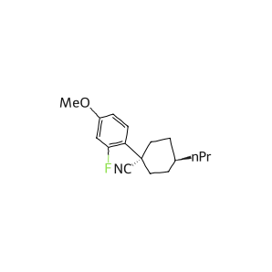 CCC[C@H]1CC[C@@](C#N)(c2ccc(OC)cc2F)CC1